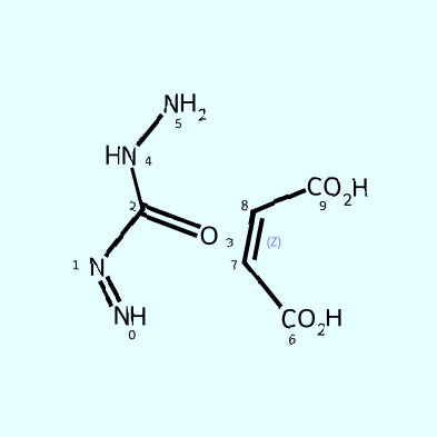 N=NC(=O)NN.O=C(O)/C=C\C(=O)O